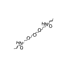 CC=CC(=O)NCCCOCCOCCOCCCNC(=O)C=CC